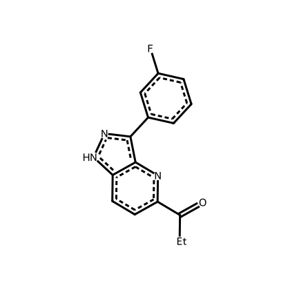 CCC(=O)c1ccc2[nH]nc(-c3cccc(F)c3)c2n1